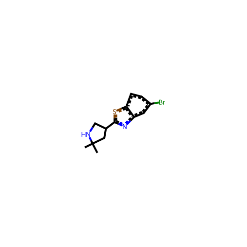 CC1(C)CC(c2nc3cc(Br)ccc3s2)CN1